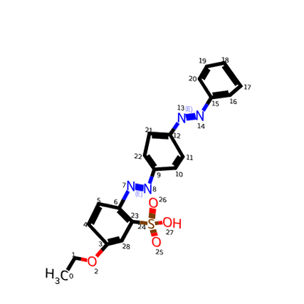 CCOc1ccc(/N=N/c2ccc(/N=N/c3ccccc3)cc2)c(S(=O)(=O)O)c1